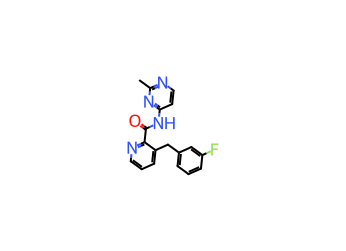 Cc1nccc(NC(=O)c2ncccc2Cc2cccc(F)c2)n1